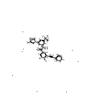 Cc1cn(-c2cc(NC(=O)c3ccc(C)c(C#Cc4cccnc4)c3)cc(C(F)(F)F)c2)cn1